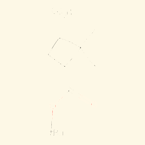 CC(C)(C)OC(=O)[C@@H]1C[C@H](C(=O)O)C1(C)C